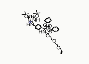 C#CCOCCOCCOC(=O)NC(c1ccc(N/C(=N/C(=O)OC(C)(C)C)NC(=O)OC(C)(C)C)cc1)P(=O)(Oc1ccccc1)Oc1ccccc1